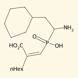 CCCCCCC(=CP(=O)(O)C(N)CC1CCCCC1)C(=O)O